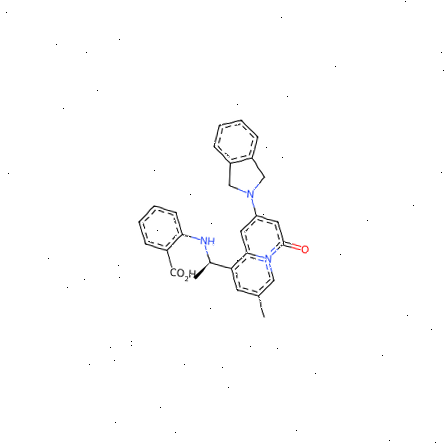 Cc1cc([C@@H](C)Nc2ccccc2C(=O)O)c2cc(N3Cc4ccccc4C3)cc(=O)n2c1